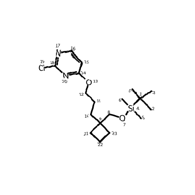 CC(C)(C)[Si](C)(C)OCC1(CCCOc2ccnc(Cl)n2)CCC1